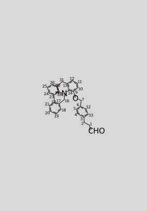 O=CCCc1ccc(COc2cccc3c2N(Cc2ccccc2-c2ccccc2)CCC3)cc1